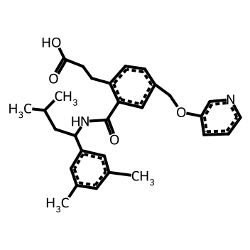 Cc1cc(C)cc(C(CC(C)C)NC(=O)c2cc(COc3cccnc3)ccc2CCC(=O)O)c1